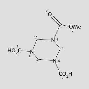 COC(=O)N1CN(C(=O)O)CN(C(=O)O)C1